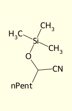 CCCCCC(C#N)O[Si](C)(C)C